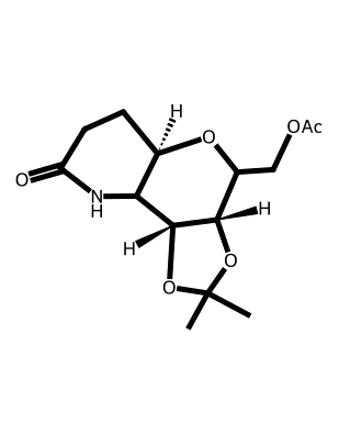 CC(=O)OCC1O[C@@H]2CCC(=O)NC2[C@H]2OC(C)(C)O[C@@H]12